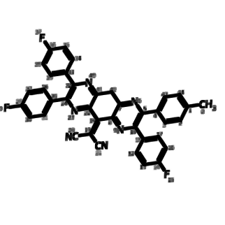 Cc1ccc(-c2nc3c(nc2-c2ccc(F)cc2)C(=C(C#N)C#N)c2nc(-c4ccc(F)cc4)c(-c4ccc(F)cc4)nc2C3)cc1